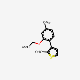 COCOc1cc(OC)ccc1-c1ccsc1C=O